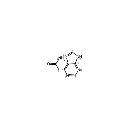 CC(N)=O.c1ncc2nc[nH]c2n1